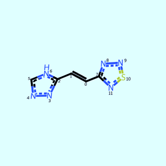 C(=C\c1nnc[nH]1)/c1nnsn1